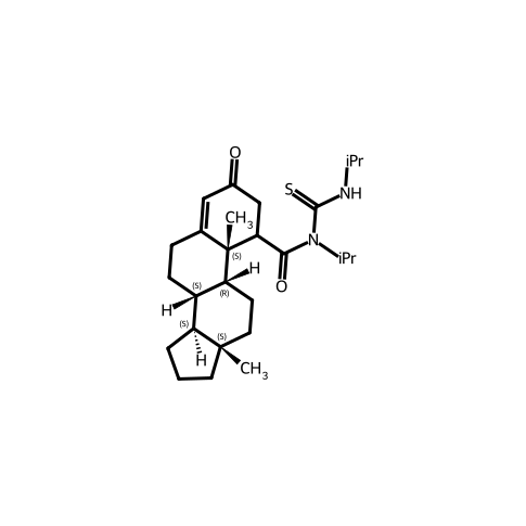 CC(C)NC(=S)N(C(=O)C1CC(=O)C=C2CC[C@@H]3[C@@H](CC[C@]4(C)CCC[C@@H]34)[C@]21C)C(C)C